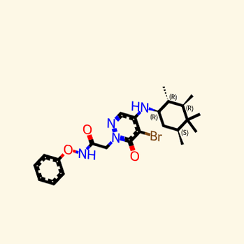 C[C@@H]1[C@@H](C)C(C)(C)[C@@H](C)C[C@H]1Nc1cnn(CC(=O)NOc2ccccc2)c(=O)c1Br